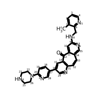 Cc1cccnc1CNc1cc2c(=O)c3cc(-c4ccc(N5CCNCC5)nc4)cnc3ccc2cn1